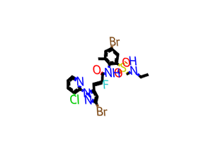 CCNCS(=O)(=O)c1cc(Br)cc(C)c1NC(=O)/C(F)=C/c1cc(Br)nn1-c1ncccc1Cl